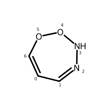 c1cn[nH]ooc1